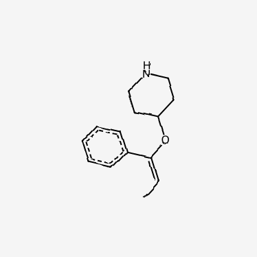 CC=C(OC1CCNCC1)c1ccccc1